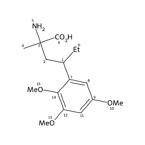 CCC(CC(C)(N)C(=O)O)c1cc(OC)cc(OC)c1OC